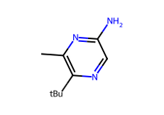 Cc1nc(N)cnc1C(C)(C)C